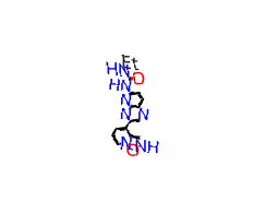 CCNC(=O)Nc1ccc2ncc(C3=CC=CN4ONC=C34)nc2n1